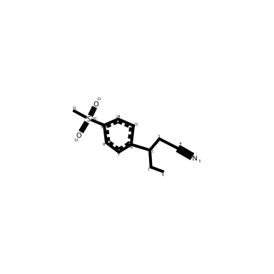 CCC(CC#N)c1ccc(S(C)(=O)=O)cc1